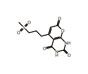 CS(=O)(=O)CCCc1cc(=O)oc2[nH]c(=O)[nH]c(=O)c12